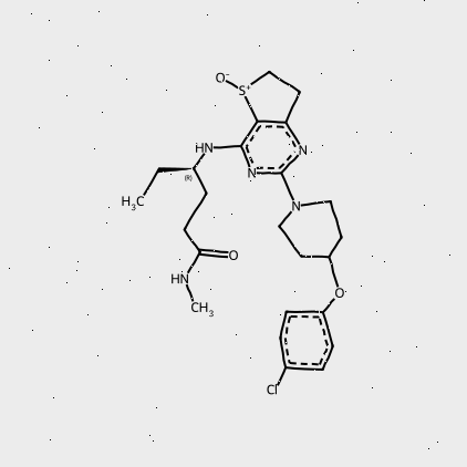 CC[C@H](CCC(=O)NC)Nc1nc(N2CCC(Oc3ccc(Cl)cc3)CC2)nc2c1[S+]([O-])CC2